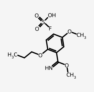 CCCOc1ccc(OC)cc1C(=N)OC.O=S(=O)(O)F